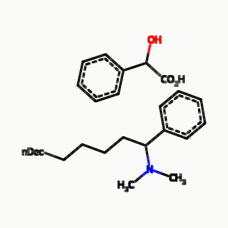 CCCCCCCCCCCCCCC(c1ccccc1)N(C)C.O=C(O)C(O)c1ccccc1